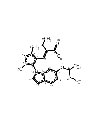 CCC(=Cc1c(C)nn(C)c1-n1ccc2ccc(OC(C)CO)cc21)C(=O)O